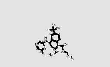 CCOC(=O)N1c2ccc(C(F)(F)F)cc2[C@@H](Nc2cncc(Cl)n2)C[C@H]1CC